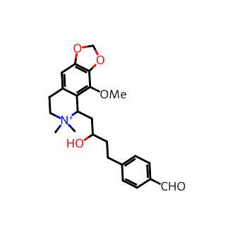 COc1c2c(cc3c1C(CC(O)CCc1ccc(C=O)cc1)[N+](C)(C)CC3)OCO2